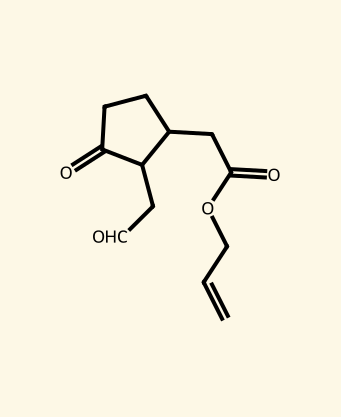 C=CCOC(=O)CC1CCC(=O)C1CC=O